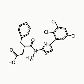 CN(C(=O)[C@@H](CC(=O)O)Cc1ccccc1)c1nc(-c2cc(Cl)cc(Cl)c2Cl)cs1